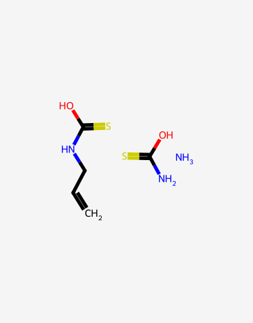 C=CCNC(O)=S.N.NC(O)=S